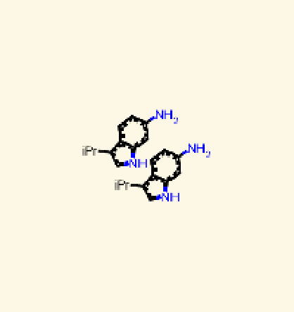 CC(C)c1c[nH]c2cc(N)ccc12.CC(C)c1c[nH]c2cc(N)ccc12